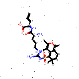 C=CC[C@@H](NC(=O)[C@H](N)CCCNC(N)=NS(=O)(=O)C1=C2C(C)=C(C)OC(C)=C2CCC1(C)C)C(=O)O